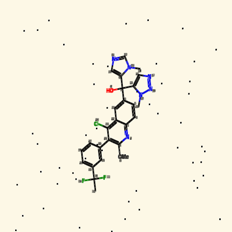 COc1nc2ccc(C(O)(c3cncn3C)c3cnnn3C)cc2c(Cl)c1-c1cccc(C(C)(F)F)c1